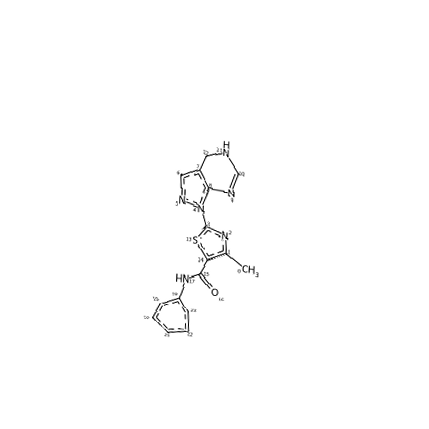 Cc1nc(-n2ncc3c2N=CNC3)sc1C(=O)Nc1ccccc1